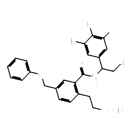 CC(C)CC(NC(=O)c1cc(COc2ccccc2)ccc1CCC(=O)O)c1cc(F)c(F)c(F)c1